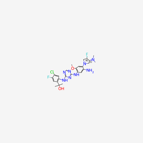 COc1cc(N2C[C@@H](F)[C@@H](N(C)C)C2)c(N)cc1Nc1ncnc(Nc2cc(Cl)c(F)cc2C(C)(C)O)n1